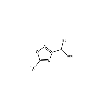 CCCCC(CC)c1noc(C(F)(F)F)n1